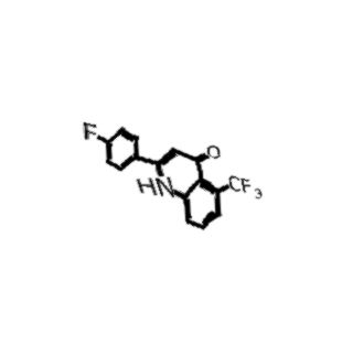 O=c1cc(-c2ccc(F)cc2)[nH]c2cccc(C(F)(F)F)c12